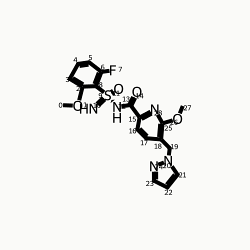 COc1cccc(F)c1[S@@](=N)(=O)NC(=O)c1ccc(Cn2cccn2)c(OC)n1